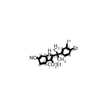 CCOC(=O)c1c(C(C)(C)c2ccc(CC)c(I)c2)[nH]c2cc(C#N)ccc12